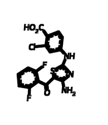 Nc1nc(Nc2ccc(C(=O)O)c(Cl)c2)sc1C(=O)c1c(F)cccc1F